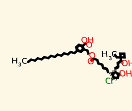 CCCCCCCCCCCCCCCCc1ccc(C(=O)O)c(CCOC(=O)CCCC=CC[C@@H]2[C@@H](C=CC[C@H](O)C3(CC)CCC3)[C@H](O)C[C@H]2Cl)c1